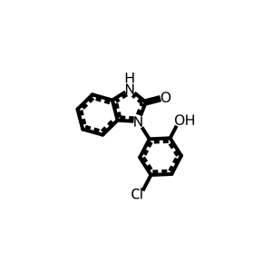 O=c1[nH]c2ccccc2n1-c1cc(Cl)ccc1O